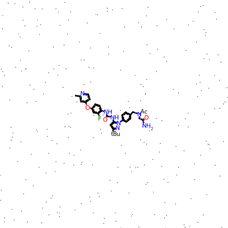 CC(=O)N(CC(N)=O)Cc1ccc(-n2nc(C(C)(C)C)cc2NC(=O)Nc2ccc(Oc3ccnc(C)c3)cc2F)cc1